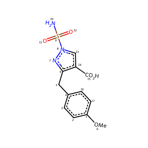 COc1ccc(Cc2nn(S(N)(=O)=O)cc2C(=O)O)cc1